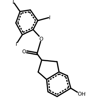 O=C(Oc1c(I)cc(I)cc1I)C1Cc2ccc(O)cc2C1